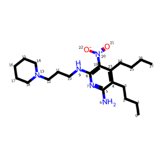 CCCCc1c(N)nc(NCCCN2CCCCC2)c([N+](=O)[O-])c1CCCC